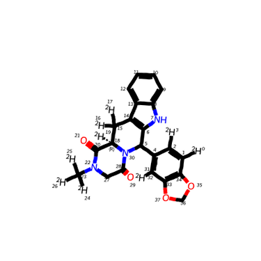 [2H]c1c([2H])c(C2c3[nH]c4ccccc4c3C([2H])([2H])[C@]3([2H])C(=O)N(C([2H])([2H])[2H])CC(=O)N23)c([2H])c2c1OCO2